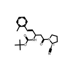 Cc1ccccc1C=CC(CC(=O)N1CCC[C@H]1C#N)NC(=O)OC(C)(C)C